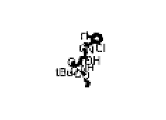 C=CCOC(=O)NC(C[C@H](O)c1nc(-c2c(Cl)cccc2Cl)co1)C(=O)OC(C)(C)C